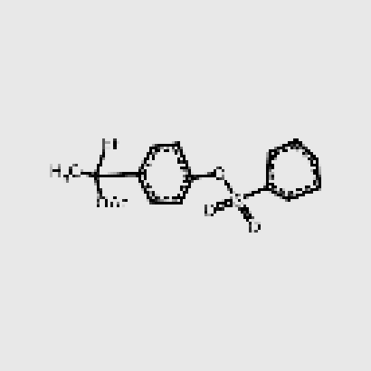 CCC(C)(OC(C)=O)c1ccc(OS(=O)(=O)c2ccccc2)cc1